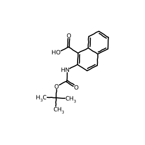 CC(C)(C)OC(=O)Nc1ccc2ccccc2c1C(=O)O